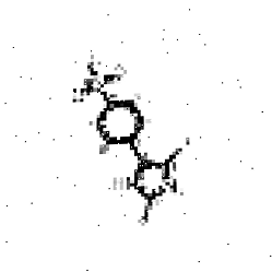 Cc1nc(I)c(-c2ccc(S(C)(=O)=O)cc2)[nH]1